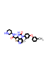 Cc1cccc(Oc2ccc(N3C(=O)Nc4c(C(=O)N[C@@H]5CCCNC5)sc5nccc3c45)c(C)c2)c1